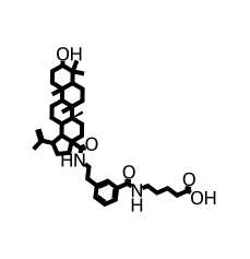 C=C(C)C1CCC2(C(=O)NCCc3cccc(C(=O)NCCCCC(=O)O)c3)CC[C@]3(C)C(CCC4C5(C)CCC(O)C(C)(C)C5CCC43C)C12